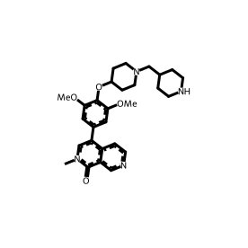 COc1cc(-c2cn(C)c(=O)c3cnccc23)cc(OC)c1OC1CCN(CC2CCNCC2)CC1